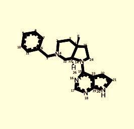 C[C@]12CCN(Cc3ccccc3)C[C@@H]1N(c1ncnc3[nH]ccc13)CC2